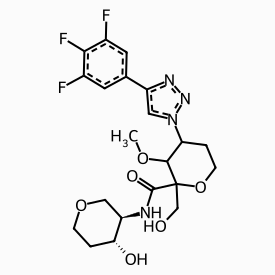 COC1C(n2cc(-c3cc(F)c(F)c(F)c3)nn2)CCOC1(CO)C(=O)N[C@@H]1COCC[C@H]1O